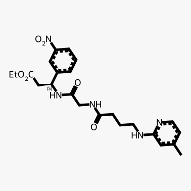 CCOC(=O)C[C@H](NC(=O)CNC(=O)CCCNc1cc(C)ccn1)c1cccc([N+](=O)[O-])c1